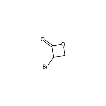 O=C1OCC1Br